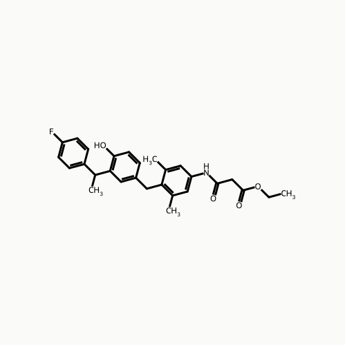 CCOC(=O)CC(=O)Nc1cc(C)c(Cc2ccc(O)c(C(C)c3ccc(F)cc3)c2)c(C)c1